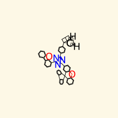 c1ccc2c(c1)Oc1ccc(-c3nc(-c4ccc(C56CC7C[C@@H]8C[C@H](CCC785)C6)cc4)nc(-c4cccc5c4oc4ccccc45)n3)cc1C21c2ccccc2-c2ccccc21